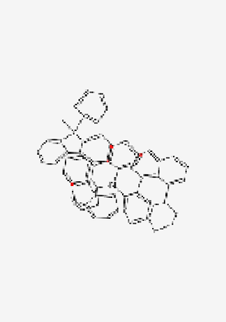 CC1(c2ccccc2)c2ccccc2-c2c(-c3ccccc3N(c3ccccc3-c3cccc4cccc(C5CCCCC5)c34)c3ccccc3-c3cccc4sc5ccccc5c34)cccc21